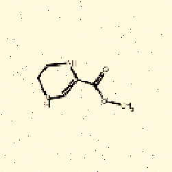 COC(=O)C1=CNCCN1